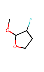 COC1OCCC1F